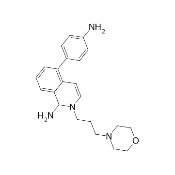 Nc1ccc(-c2cccc3c2C=CN(CCCN2CCOCC2)C3N)cc1